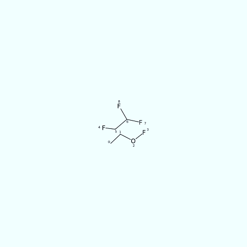 CCOF.FCC(F)F